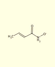 CC=CC(=O)[NH2+][O-]